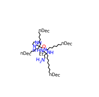 CCCCCCCCCCCCCCCCCCC1(CCN)NC(CCCCCCCCCCCCCCCC)=NC1(CC)NC(=O)C(CCCCCCCCCCCCCC)(CCCCCCCCCCCCCCCC)C1NCCN1